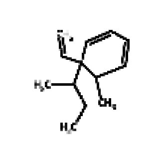 C=CC1(C(C)CC)C=CC=CC1C